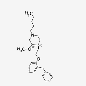 CCCCCN1CC[C@@H](CCOc2ccccc2Cc2ccccc2)[C@@H](OC)C1